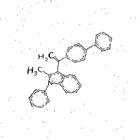 C=C(c1ccc(-c2ccccc2)cc1)c1c(C)n(-c2ccccc2)c2ccccc12